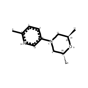 Cc1ccc(N2C[C@@H](C)O[C@H](C)C2)cn1